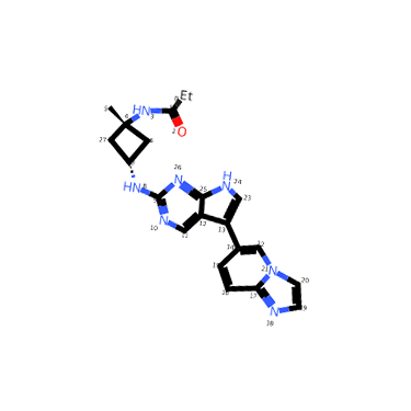 CCC(=O)N[C@]1(C)C[C@H](Nc2ncc3c(-c4ccc5nccn5c4)c[nH]c3n2)C1